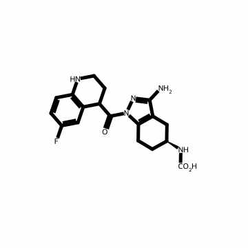 Nc1nn(C(=O)C2CCNc3ccc(F)cc32)c2c1C[C@@H](NC(=O)O)CC2